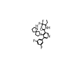 CC[C@@H](NC(=O)c1cncc(-c2cc(F)cc(F)c2)c1N1CCC2(CCCN2)C1)C(F)(F)F